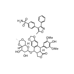 COc1cc([C@@H]2c3cc4c(cc3C(O[C@@H]3O[C@@H]5CO[C@@H](C)O[C@H]5[C@H](O)[C@H]3O)C3COC(=O)[C@@H]32)OCO4)cc(OC)c1O.Cc1onc(-c2ccccc2)c1-c1ccc(S(N)(=O)=O)cc1